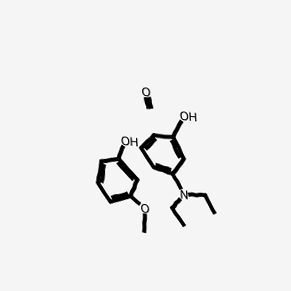 C=O.CCN(CC)c1cccc(O)c1.COc1cccc(O)c1